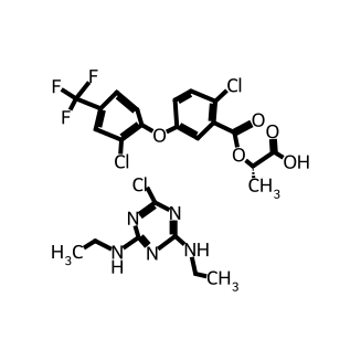 CCNc1nc(Cl)nc(NCC)n1.C[C@H](OC(=O)c1cc(Oc2ccc(C(F)(F)F)cc2Cl)ccc1Cl)C(=O)O